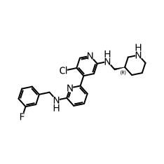 Fc1cccc(CNc2cccc(-c3cc(NC[C@@H]4CCCNC4)ncc3Cl)n2)c1